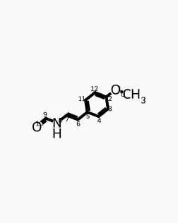 COc1ccc(/C=C/NC=O)cc1